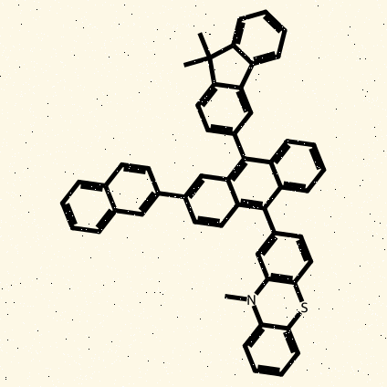 CN1c2ccccc2Sc2ccc(-c3c4ccccc4c(-c4ccc5c(c4)-c4ccccc4C5(C)C)c4cc(-c5ccc6ccccc6c5)ccc34)cc21